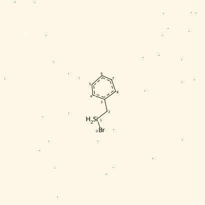 Br[SiH2]Cc1ccccc1